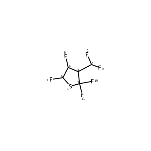 FC(F)C1C(F)C(F)SC1(F)F